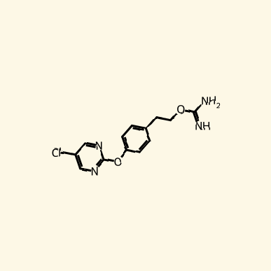 N=C(N)OCCc1ccc(Oc2ncc(Cl)cn2)cc1